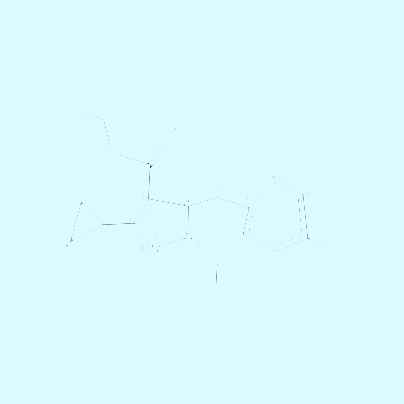 CCOC(=O)C1=C(C2CC2)NN(CC)C1Cc1ccc(Br)cc1